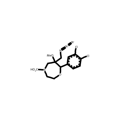 COC1(CN=[N+]=[N-])CN(C(=O)O)CCOC1c1ccc(Cl)c(Cl)c1